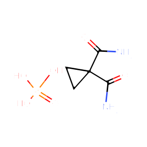 NC(=O)C1(C(N)=O)CC1.O=P(O)(O)O